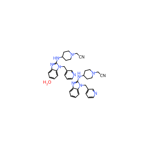 N#CCN1CCC(Nc2nc3ccccc3n2Cc2cccnc2)CC1.N#CCN1CCC(Nc2nc3ccccc3n2Cc2cccnc2)CC1.O